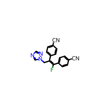 N#Cc1ccc(C(F)=C(Cn2cncn2)c2ccc(C#N)cc2)cc1